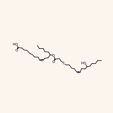 CCCCCC(O)CC/C=C\CCCCCCCC(=O)OC(CC/C=C\CCCCCCCC(=O)O)CCCCC